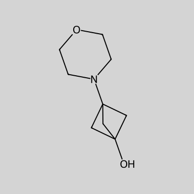 OC12CC(N3CCOCC3)(C1)C2